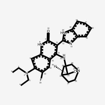 CCN(CC)c1cc2[nH]c(=O)c(-c3nc4ccccc4[nH]3)c(N[C@H]3CN4CCC3CC4)c2cc1F